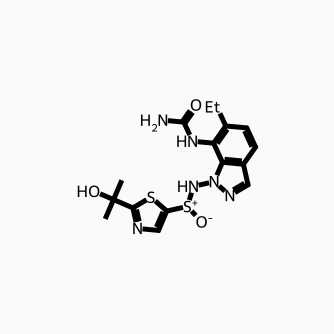 CCc1ccc2cnn(N[S+]([O-])c3cnc(C(C)(C)O)s3)c2c1NC(N)=O